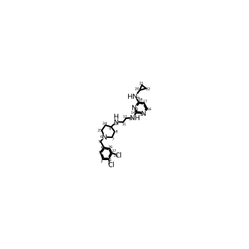 Clc1ccc(CN2CCC(NCCNc3nccc(NC4CC4)n3)CC2)cc1Cl